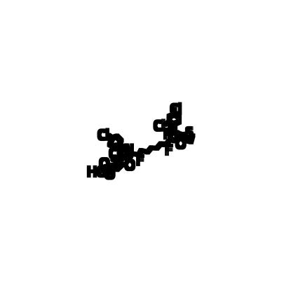 O=S(=O)(O)c1cc2oc3c(/C(F)=C/CCC/C=C(\F)c4nn(-c5ccc(Cl)cc5Cl)c5c4oc4ccsc45)nn(-c4ccc(Cl)cc4Cl)c3c2s1